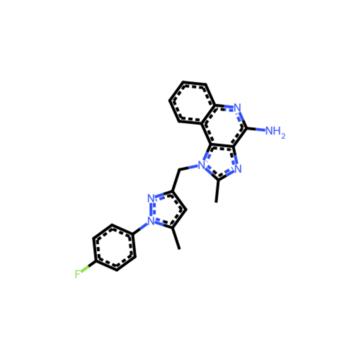 Cc1cc(Cn2c(C)nc3c(N)nc4ccccc4c32)nn1-c1ccc(F)cc1